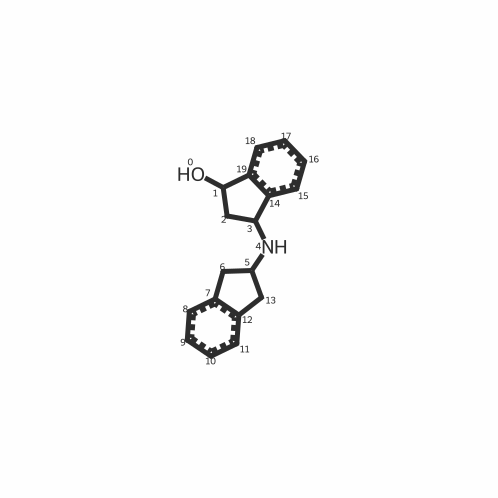 OC1CC(NC2Cc3ccccc3C2)c2ccccc21